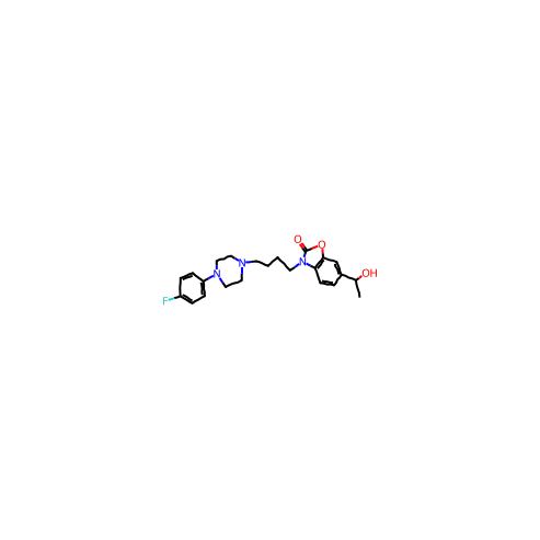 CC(O)c1ccc2c(c1)oc(=O)n2CCCCN1CCN(c2ccc(F)cc2)CC1